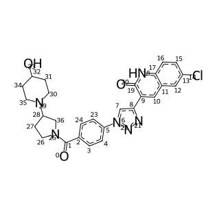 O=C(c1ccc(-n2cc(-c3cc4cc(Cl)ccc4[nH]c3=O)nn2)cc1)N1CCC(N2CCC(O)CC2)C1